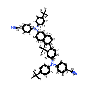 CC(C)(C)c1ccc(N(c2ccc(C#N)cc2)c2ccc3c(c2)C(C)(C)c2c-3ccc3cc(N(c4ccc(C#N)cc4)c4ccc(C(C)(C)C)cc4)ccc23)cc1